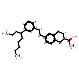 CCCCCC(CCC)c1cccc(CCc2ccc3c(c2)CCC(C(N)=O)C3)c1